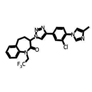 Cc1cn(-c2ccc(-c3cn(C4CCc5ccccc5N(CC(F)(F)F)C4=O)nn3)cc2Cl)cn1